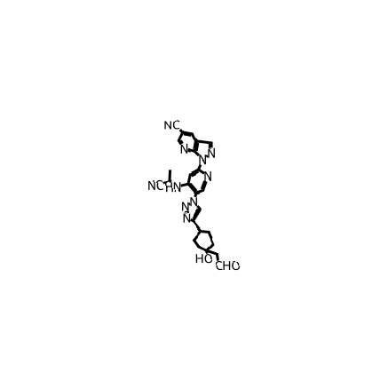 C[C@H](C#N)Nc1cc(-n2ncc3cc(C#N)cnc32)ncc1-n1cc(C2CCC(O)(CC=O)CC2)nn1